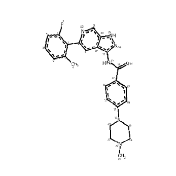 Cc1cccc(F)c1-c1cc2c(NC(=O)c3ccc(N4CCN(C)CC4)cc3)n[nH]c2cn1